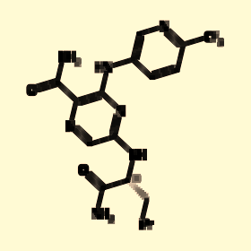 CC(C)C[C@@H](Nc1cnc(C(N)=O)c(Nc2ccc(C(F)(F)F)nc2)n1)C(N)=O